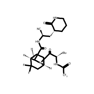 CC(C)(C)[C@H](NC(=O)C(F)(F)F)C(=O)N1[C@H]2CC[C@@H]([C@H]1C(=O)N[C@@H](C#N)C[C@H]1CCCNC1=O)C(F)(F)C2